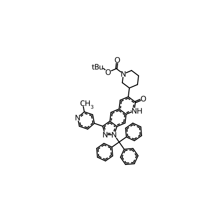 Cc1cc(-c2nn(C(c3ccccc3)(c3ccccc3)c3ccccc3)c3cc4[nH]c(=O)c(C5CCCN(C(=O)OC(C)(C)C)C5)cc4cc23)ccn1